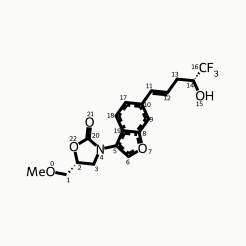 COC[C@H]1CN(c2coc3cc(C=CC[C@@H](O)C(F)(F)F)ccc23)C(=O)O1